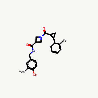 COc1cc(CNC(=O)C2CN(C(=O)C3CC3C3CC=CC=C3C(C)C)C2)ccc1O